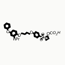 CCCc1cc(Oc2ccccc2)ccc1OCCCCOc1ccc(S(=O)(=O)N2CC[C@H]2OC(=O)O)cc1